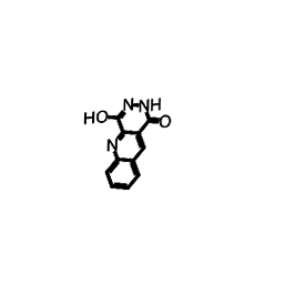 O=c1[nH]nc(O)c2nc3ccccc3cc12